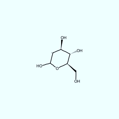 OC[C@H]1OC(O)[C][C@@H](O)[C@@H]1O